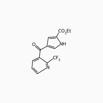 CCOC(=O)c1cc(C(=O)c2cccnc2C(F)(F)F)c[nH]1